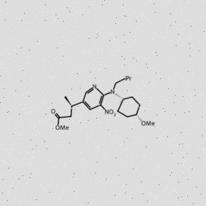 COC(=O)C[C@@H](C)c1cnc(N(CC(C)C)[C@H]2CC[C@@H](OC)CC2)c([N+](=O)[O-])c1